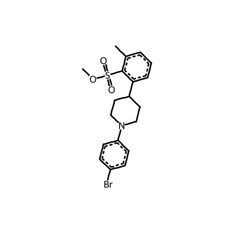 COS(=O)(=O)c1c(C)cccc1C1CCN(c2ccc(Br)cc2)CC1